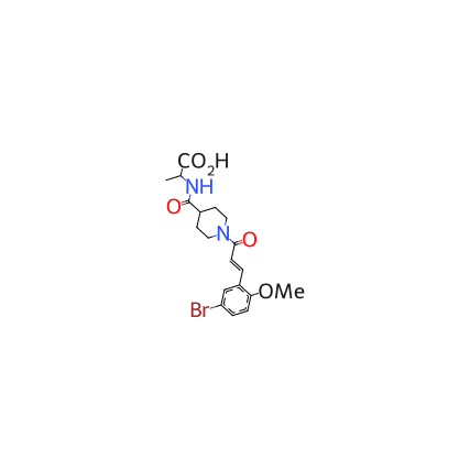 COc1ccc(Br)cc1C=CC(=O)N1CCC(C(=O)NC(C)C(=O)O)CC1